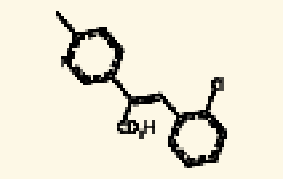 Cc1ccc(C(=Cc2ccccc2Cl)C(=O)O)cn1